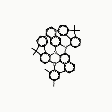 Cc1cc(C)c(B2c3ccc4c(c3N3c5cc6ccccc6cc5N(c5cccc6c5-c5ccccc5C6(C)C)c5cc6ccccc6c2c53)-c2ccccc2C4(C)C)c(C)c1